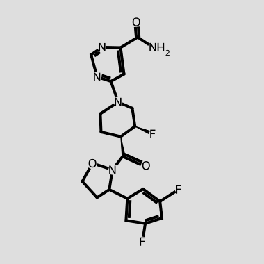 NC(=O)c1cc(N2CC[C@H](C(=O)N3OCCC3c3cc(F)cc(F)c3)[C@H](F)C2)ncn1